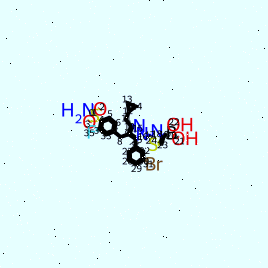 NS(=O)(=O)c1ccc(Cc2c(CC3CC3)nn(-c3nc(B(O)O)cs3)c2-c2cccc(Br)c2)cc1F